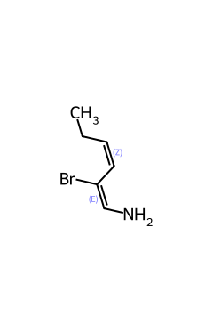 CC/C=C\C(Br)=C/N